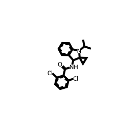 CC(C)N1c2ccccc2C(NC(=O)c2c(Cl)cccc2Cl)C12CC2